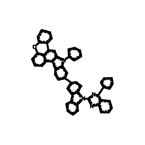 c1ccc(-c2nc(-n3c4ccccc4c4cc(-c5ccc6c7c8cccc9c8c(cc7n(-c7ccccc7)c6c5)-c5ccccc5O9)ccc43)nc3ccccc23)cc1